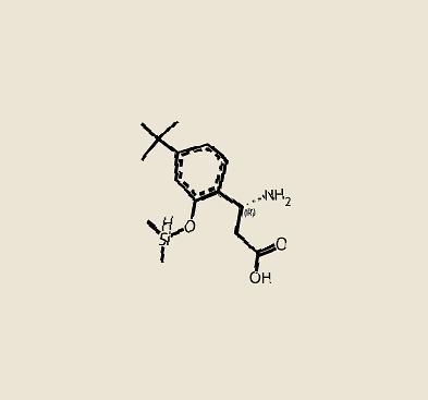 C[SiH](C)Oc1cc(C(C)(C)C)ccc1[C@H](N)CC(=O)O